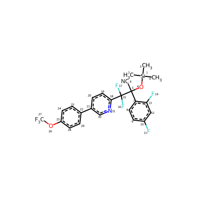 C[Si](C)(C)OC(C#N)(c1ccc(F)cc1F)C(F)(F)c1ccc(-c2ccc(OC(F)(F)F)cc2)cn1